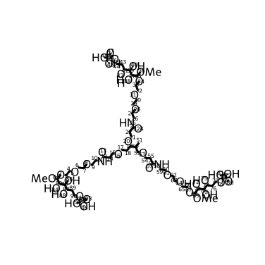 COC(OCCOCCOCCNC(=O)CCOCCC(OCCC(=O)NCCOCCOCCOC(OC)C(O)[C@H](O)C(O)CCOP(=O)(O)O)C(C)COCCC(=O)NCCOCCOCCOC(OC)C(O)C(O)C(O)CCOP(=O)(O)O)C(O)C(O)C(O)CCOP(=O)(O)O